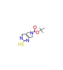 CC(C)(C)OC(=O)N1Cc2cnc(S)nc2C1